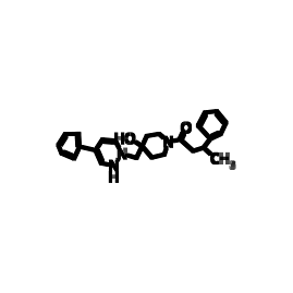 CC(CC(=O)N1CCC(O)(CN2C=CC(c3ccccc3)=CN2)CC1)c1ccccc1